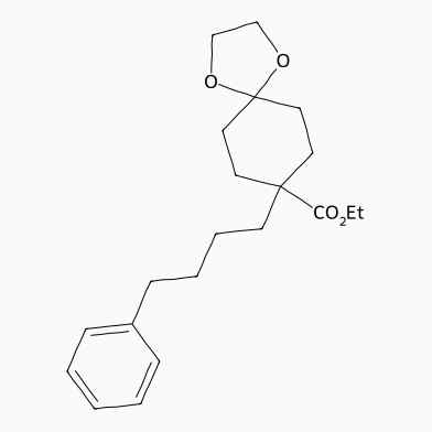 CCOC(=O)C1(CCCCc2ccccc2)CCC2(CC1)OCCO2